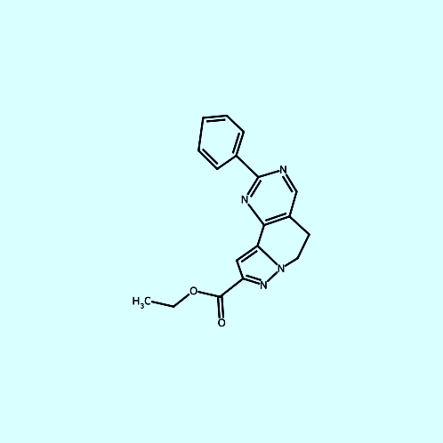 CCOC(=O)c1cc2n(n1)CCc1cnc(-c3ccccc3)nc1-2